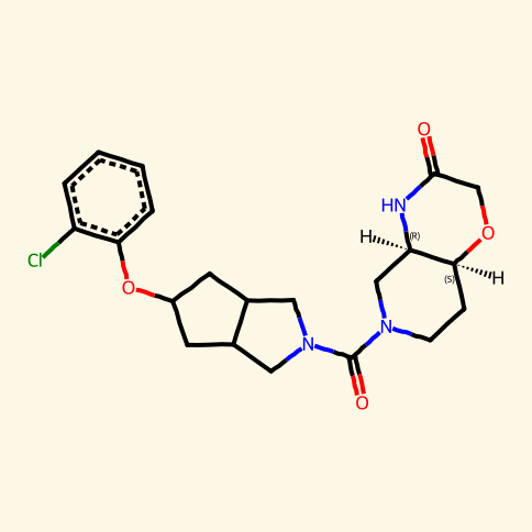 O=C1CO[C@H]2CCN(C(=O)N3CC4CC(Oc5ccccc5Cl)CC4C3)C[C@H]2N1